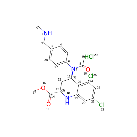 CNCc1ccc(N(C(C)=O)[C@@H]2C[C@@H](C(=O)OC)Nc3cc(Cl)cc(Cl)c32)cc1.Cl